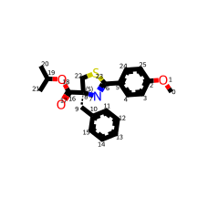 COc1ccc(C2=N[C@@](Cc3ccccc3)(C(=O)OC(C)C)CS2)cc1